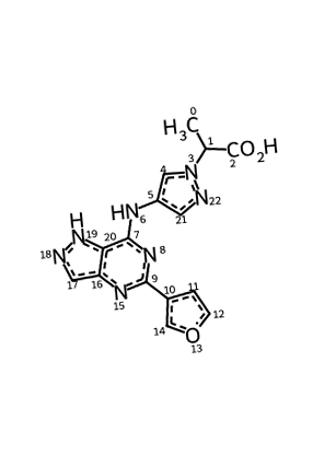 CC(C(=O)O)n1cc(Nc2nc(-c3ccoc3)nc3cn[nH]c23)cn1